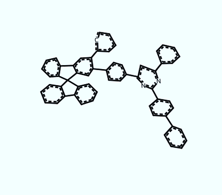 c1ccc(-c2ccc(-c3nc(-c4ccccc4)cc(-c4ccc(-c5cc6c(cc5-c5ccccc5)-c5ccccc5C65c6ccccc6-c6ccccc65)cc4)n3)cc2)cc1